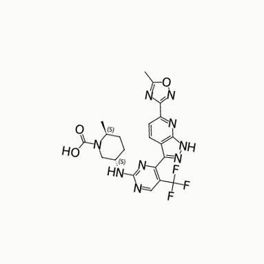 Cc1nc(-c2ccc3c(-c4nc(N[C@H]5CC[C@H](C)N(C(=O)O)C5)ncc4C(F)(F)F)n[nH]c3n2)no1